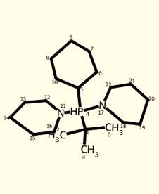 CC(C)(C)[PH](C1CCCCC1)(N1CCCCC1)N1CCCCC1